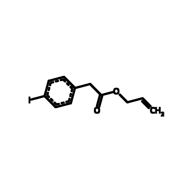 C=CCOC(=O)Cc1ccc(I)cc1